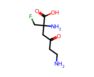 NCCC(=O)CC(N)(CF)C(=O)O